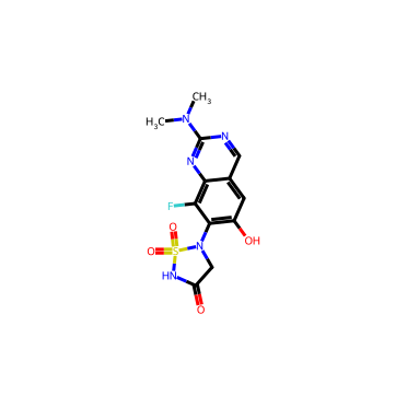 CN(C)c1ncc2cc(O)c(N3CC(=O)NS3(=O)=O)c(F)c2n1